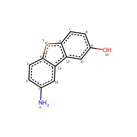 Nc1ccc2sc3ccc(O)cc3c2c1